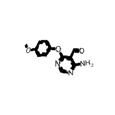 COc1ccc(Oc2ncnc(N)c2C=O)cc1